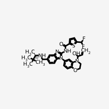 C=CC(O)N1CCOc2ccc(-n3c(NC(=O)c4ccc(C(F)F)s4)nc4cc(CN[C@@H](C)C(C)(C)C)ccc43)cc21